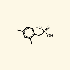 Cc1ccc(SP(O)(O)=S)c(C)c1